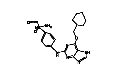 N[SH](=O)(C=O)c1ccc(Nc2nc(OCC3CCCCC3)c3[nH]cnc3n2)cc1